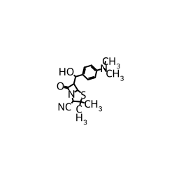 CN(C)c1ccc(C(O)C2C(=O)N3C2SC(C)(C)C3C#N)cc1